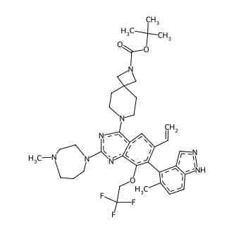 C=Cc1cc2c(N3CCC4(CC3)CN(C(=O)OC(C)(C)C)C4)nc(N3CCCN(C)CC3)nc2c(OCC(F)(F)F)c1-c1c(C)ccc2[nH]ncc12